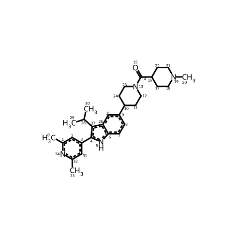 Cc1cc(-c2[nH]c3ccc(C4CCN(C(=O)C5CCN(C)CC5)CC4)cc3c2C(C)C)cc(C)n1